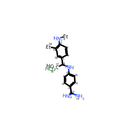 CCNc1ccc(C(Nc2ccc(C(=N)N)cc2)C(=O)O)cc1CC.Cl